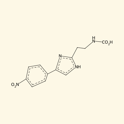 O=C(O)NCCc1nc(-c2ccc([N+](=O)[O-])cc2)c[nH]1